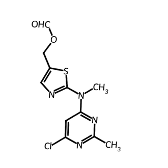 Cc1nc(Cl)cc(N(C)c2ncc(COC=O)s2)n1